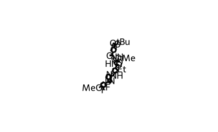 CCc1cc(Nc2nccn3c(-c4ccc(OC)c(F)c4F)cnc23)ccc1C(=O)N[C@@H](CNC(=O)C1CCN(C(=O)OC(C)(C)C)CC1)C(=O)OC